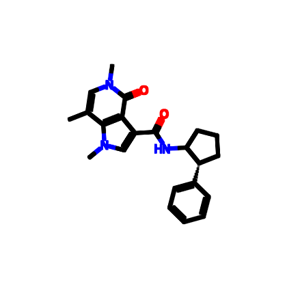 Cc1cn(C)c(=O)c2c(C(=O)NC3CCC[C@@H]3c3ccccc3)cn(C)c12